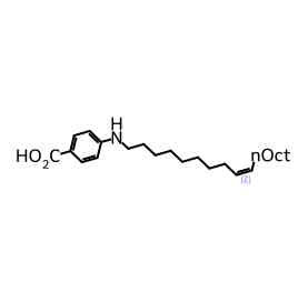 CCCCCCCC/C=C\CCCCCCCCNc1ccc(C(=O)O)cc1